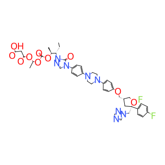 CC[C@@H]([C@H](C)OC(=O)OC(C)OC(=O)CC(=O)O)n1ncn(-c2ccc(N3CCN(c4ccc(OC[C@@H]5CO[C@@](Cn6cncn6)(c6ccc(F)cc6F)C5)cc4)CC3)cc2)c1=O